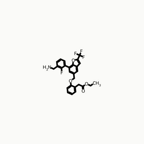 CCOC(=O)Cc1ccccc1OCc1cc(-c2cccc(CN)c2F)c2oc(C(F)(F)F)cc2c1